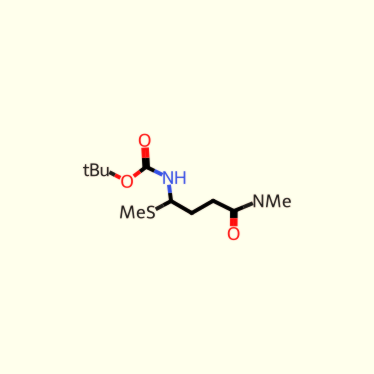 CNC(=O)CCC(NC(=O)OC(C)(C)C)SC